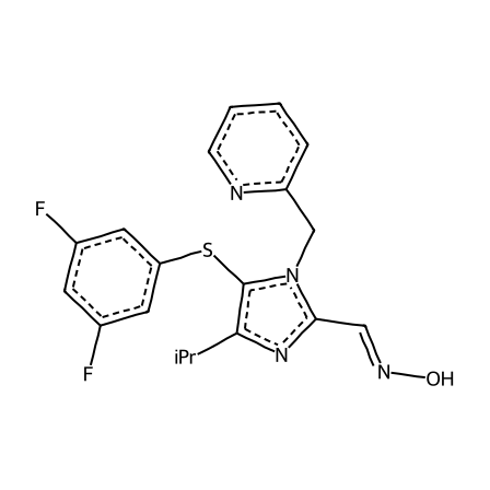 CC(C)c1nc(C=NO)n(Cc2ccccn2)c1Sc1cc(F)cc(F)c1